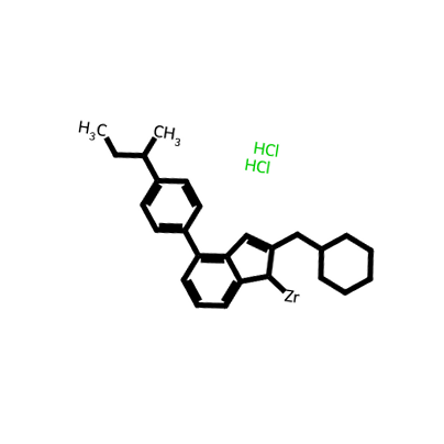 CCC(C)c1ccc(-c2cccc3c2C=C(CC2CCCCC2)[CH]3[Zr])cc1.Cl.Cl